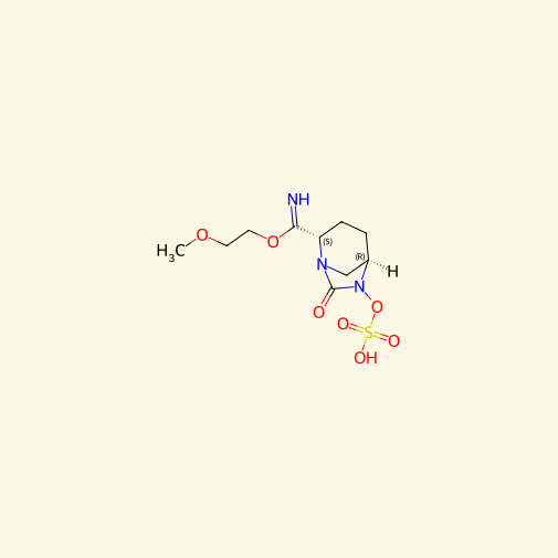 COCCOC(=N)[C@@H]1CC[C@@H]2CN1C(=O)N2OS(=O)(=O)O